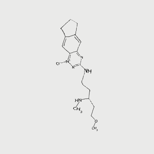 CNC(CCNc1nc2cc3c(cc2[n+]([O-])n1)CCC3)CCOC